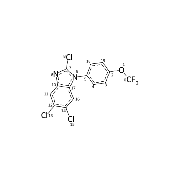 FC(F)(F)Oc1ccc(-n2c(Cl)nc3cc(Cl)c(Cl)cc32)cc1